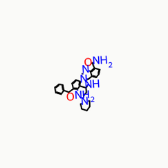 NC(=O)c1cccc2c(NC(CCN3CCCCC3)c3cccc(C(=O)c4ccccc4)c3N)ncnc12